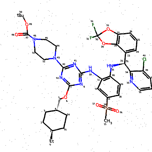 CC[C@H]1CC[C@H](COc2nc(Nc3cc(S(C)(=O)=O)ccc3N[C@@H](c3cccc4c3OC(F)(F)O4)c3ncccc3Cl)nc(N3CCN(C(=O)OC(C)(C)C)CC3)n2)CC1